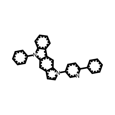 c1ccc(-c2ccc(-n3ccc4cc5c(cc43)c3ccccc3n5-c3ccccc3)cn2)cc1